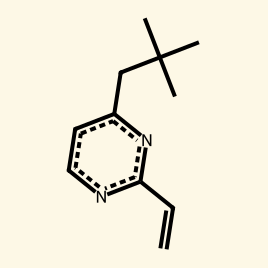 C=Cc1nccc(CC(C)(C)C)n1